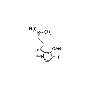 COc1c(F)ccn2ccc(CCN(C)C)c12